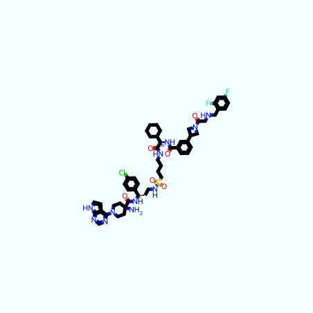 NC1(C(=O)N[C@@H](CCNS(=O)(=O)CCCCNC(=O)[C@H](NC(=O)c2cccc(C3CN(C(=O)CNCc4ccc(F)cc4F)C3)c2)C2CCCCC2)c2ccc(Cl)cc2)CCN(c2ncnc3[nH]ccc23)CC1